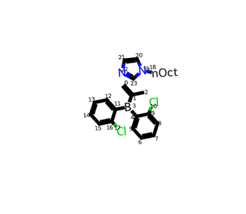 C=C(C)B(c1ccccc1Cl)c1ccccc1Cl.CCCCCCCCn1ccnc1